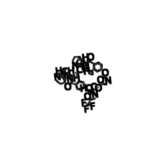 COc1cnc(Oc2ccc(C(=O)N[C@@H]3C4CCN(CC4)[C@H]3C)cc2)o1.C[C@H]1[C@H](NC(=O)c2ccc(Oc3ncc(C(F)(F)F)o3)cc2)C2CCN1CC2